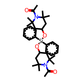 CC(=O)N1C(C)(C)CC(O[Si](OC2CC(C)(C)N(C(C)=O)C(C)(C)C2)(c2ccccc2)c2ccccc2)CC1(C)C